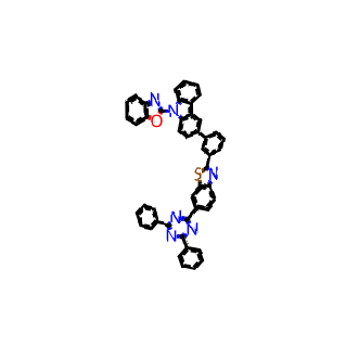 c1ccc(-c2nc(-c3ccccc3)nc(-c3ccc4nc(-c5cccc(-c6ccc7c(c6)c6ccccc6n7-c6nc7ccccc7o6)c5)sc4c3)n2)cc1